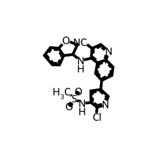 CS(=O)(=O)Nc1cc(-c2ccc3ncc(C#N)c(NC4COc5ccccc54)c3c2)cnc1Cl